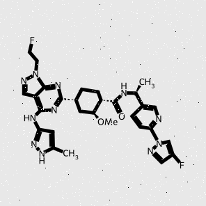 CO[C@H]1C[C@H](c2nc(Nc3cc(C)[nH]n3)c3cnn(CCF)c3n2)CC[C@@H]1C(=O)N[C@@H](C)c1ccc(-n2cc(F)cn2)nc1